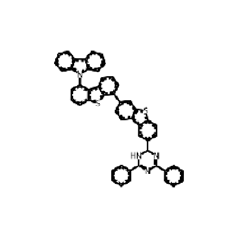 c1ccc(C2=NC(c3ccc4sc5cc(-c6cccc7c6sc6cccc(-n8c9ccccc9c9ccccc98)c67)ccc5c4c3)NC(c3ccccc3)=N2)cc1